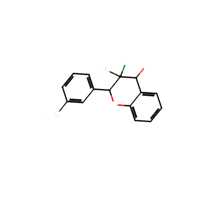 O=[N+]([O-])c1cccc(C2Oc3ccccc3C(O)C2(Cl)[N+](=O)[O-])c1